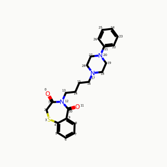 O=C1CSc2ccccc2C(=O)N1CCCCN1CCN(c2ccccc2)CC1